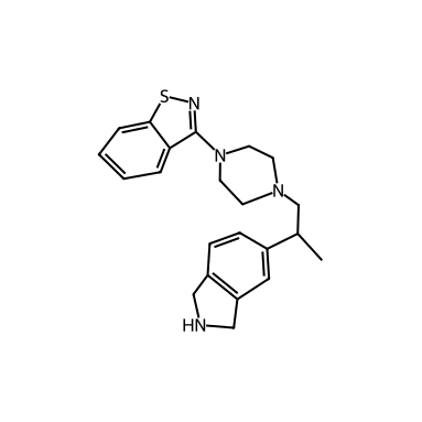 CC(CN1CCN(c2nsc3ccccc23)CC1)c1ccc2c(c1)CNC2